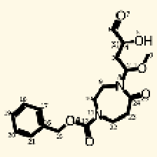 COC(C[C@H](O)C=O)N1CCN(C(=O)OCc2ccccc2)CCC1=O